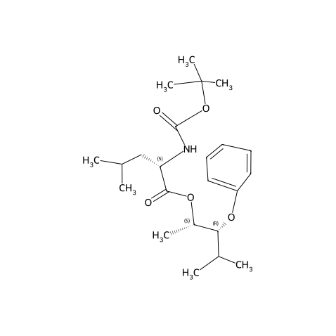 CC(C)C[C@H](NC(=O)OC(C)(C)C)C(=O)O[C@@H](C)[C@H](Oc1ccccc1)C(C)C